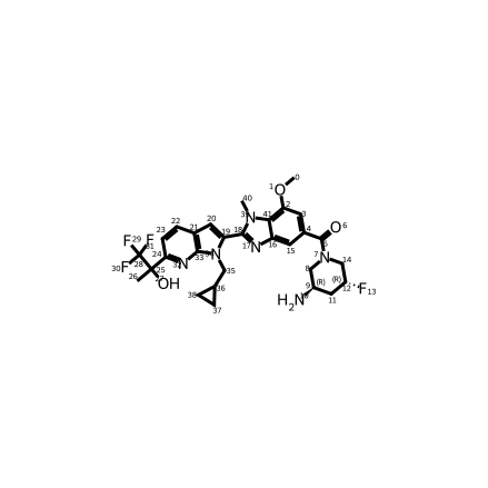 COc1cc(C(=O)N2C[C@H](N)C[C@@H](F)C2)cc2nc(-c3cc4ccc(C(C)(O)C(F)(F)F)nc4n3CC3CC3)n(C)c12